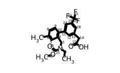 CCN(Cc1cc(C)ccc1-c1cc(CC(=O)O)cc(C(F)(F)F)c1)C(=O)OC